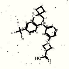 O=C(O)C1CN(c2cccc(N3CC4(CCC4)Oc4cc(C(F)(F)F)ccc43)c2)C1